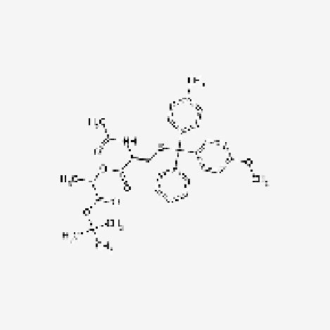 COc1ccc(C(SC[C@H](NC(C)=O)C(=O)O[C@H](C)C(=O)OC(C)(C)C)(c2ccccc2)c2ccc(C)cc2)cc1